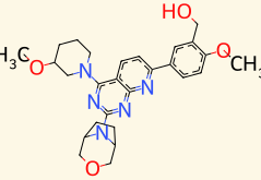 COc1ccc(-c2ccc3c(N4CCCC(OC)C4)nc(N4C5CCC4COC5)nc3n2)cc1CO